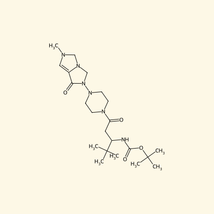 CN1C=C2C(=O)N(N3CCN(C(=O)CC(NC(=O)OC(C)(C)C)C(C)(C)C)CC3)CN2C1